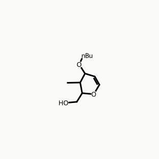 CCCCOC1C=COC(CO)C1C